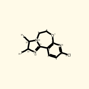 Clc1ccc2c(n1)OCCN1C2=NC(I)C1I